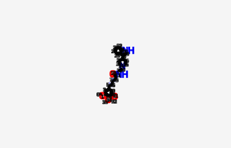 COc1cc(/C=C/C=C/C(=O)NCCN2CCC(c3c[nH]c4ccccc34)CC2)cc(OC)c1OC